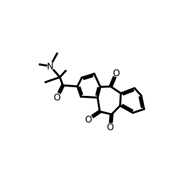 CN(C)C(C)(C)C(=O)c1ccc2c(c1)C(=O)C(=O)c1ccccc1C2=O